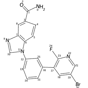 NC(=O)c1ccc2c(c1)ncn2-c1cccc(-c2cc(Br)cnc2F)c1